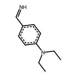 CCN(CC)c1ccc(C=N)cc1